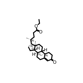 CCOC(=O)CC[C@@H](C)[C@H]1CC[C@H]2[C@@H]3CCC4=CC(=O)CC[C@]4(C)[C@H]3CC[C@]12C